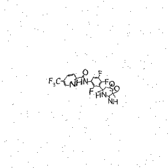 CC1(C)C(=N)N[C@](C)(c2c(F)c(F)cc(NC(=O)c3ccc(C(F)(F)F)cn3)c2F)CS1(=O)=O